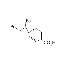 CC(C)CC(C1=CCC(C(=O)O)C=C1)C(C)(C)C